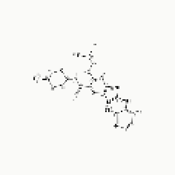 Cc1ccnc(Cl)c1Nc1nc2cc(C(=O)N[C@H]3CC[C@H](C(F)(F)F)CC3)c(OCC(F)F)nc2[nH]1